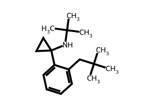 CC(C)(C)Cc1ccccc1C1(NC(C)(C)C)CC1